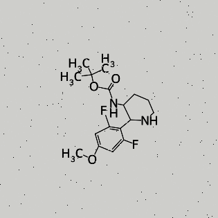 COc1cc(F)c(C2NCCCC2NC(=O)OC(C)(C)C)c(F)c1